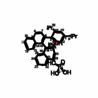 CC(C)c1cc(C(C)C)c(-c2ccc3ccccc3c2-c2c(O)ccc3ccccc23)c(C(C)C)c1.O=P(O)(O)O